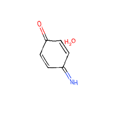 N=C1C=CC(=O)C=C1.O